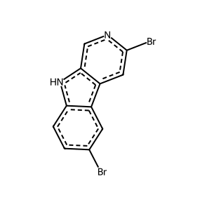 Brc1ccc2[nH]c3cnc(Br)cc3c2c1